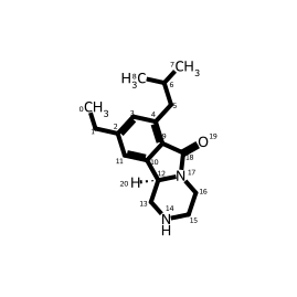 CCc1cc(CC(C)C)c2c(c1)[C@@H]1CNCCN1C2=O